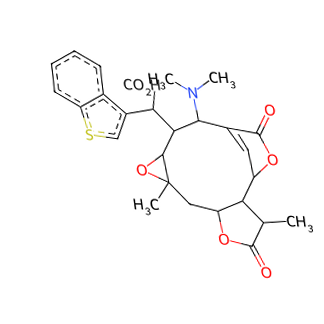 CC1C(=O)OC2CC3(C)OC3C(C(C(=O)O)c3csc4ccccc34)C(N(C)C)C3=CC(OC3=O)C21